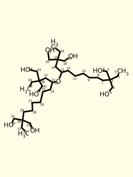 CCC(CO)(CO)CCCCCCC(CC(CC)(CO)CO)OC(CCCCCCC(CC)(CO)CO)CC(CC)(CO)CO